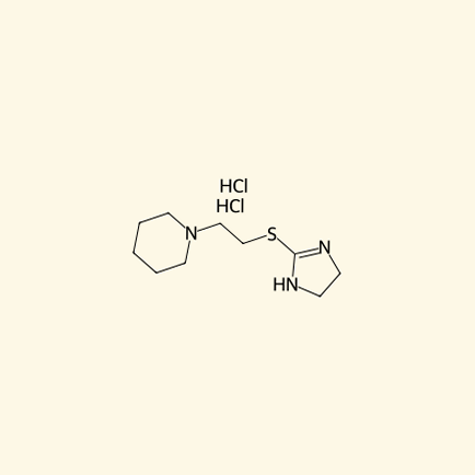 C1CCN(CCSC2=NCCN2)CC1.Cl.Cl